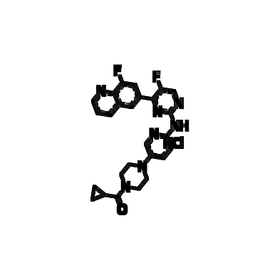 Cl.O=C(C1CC1)N1CCN(c2ccc(Nc3ncc(F)c(-c4cc(F)c5ncccc5c4)n3)nc2)CC1